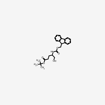 CC(C)(C)OC(=O)CCC(CO)NC(=O)OCC1c2ccccc2-c2ccccc21